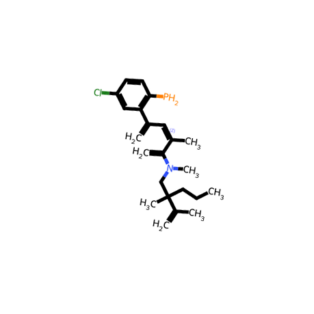 C=C(/C=C(/C)C(=C)N(C)CC(C)(CCC)C(=C)C)c1cc(Cl)ccc1P